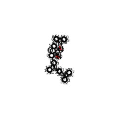 c1ccc2c(c1)Oc1ccc(-c3ccc4c(c3)c3ccccc3n4-c3ccc(-n4c5ccccc5c5ccccc54)cc3)cc1C21c2cccnc2-c2ncc(-n3c4ccccc4c4ccccc43)cc21